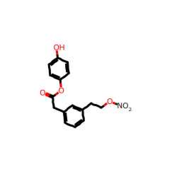 O=C(Cc1cccc(CCO[N+](=O)[O-])c1)Oc1ccc(O)cc1